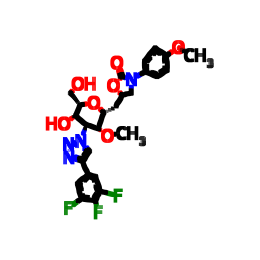 COc1ccc(N2CC(C[C@H]3O[C@H](CO)[C@H](O)[C@H](n4cc(-c5cc(F)c(F)c(F)c5)nn4)[C@H]3OC)OC2=O)cc1